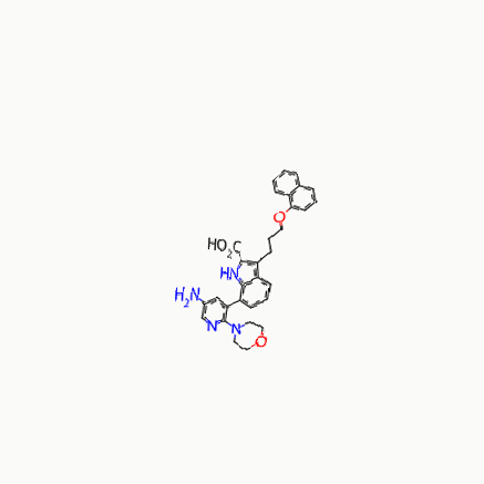 Nc1cnc(N2CCOCC2)c(-c2cccc3c(CCCOc4cccc5ccccc45)c(C(=O)O)[nH]c23)c1